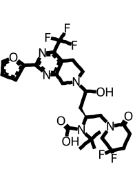 CC(C)(C)N(C(=O)O)[C@@H](CC(O)N1CCc2c(nc(-c3ccco3)nc2C(F)(F)F)C1)CN1CC(F)(F)CCC1=O